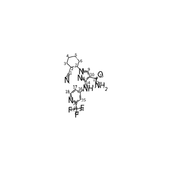 N#CC1CCCCC1n1cc(C(N)=O)c(Nc2ccnc(C(F)(F)F)c2)n1